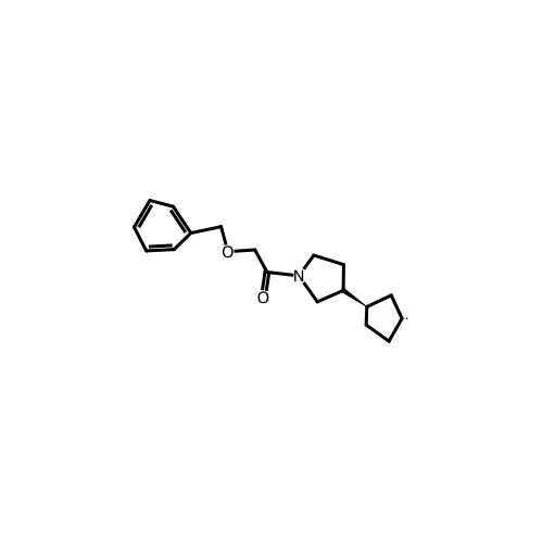 O=C(COCc1ccccc1)N1CCC([C@H]2C[CH]CC2)C1